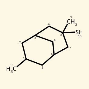 CC1CC2CC(C1)CC(C)(S)C2